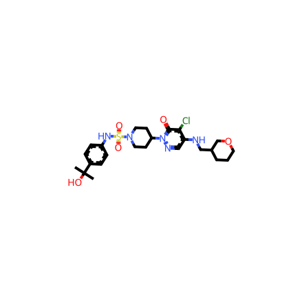 CC(C)(O)c1ccc(NS(=O)(=O)N2CCC(n3ncc(NCC4CCCOC4)c(Cl)c3=O)CC2)cc1